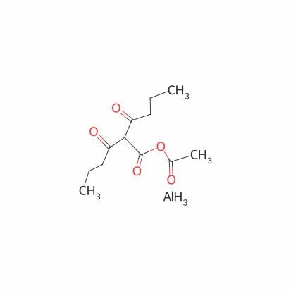 CCCC(=O)C(C(=O)CCC)C(=O)OC(C)=O.[AlH3]